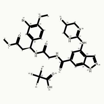 COC(=O)C[C@H](NC(=O)CNC(=O)c1cc(NC2=NCC(F)CN2)c2cn[nH]c2c1)c1ccc(OC)c(Br)c1.O=C(O)C(F)(F)F